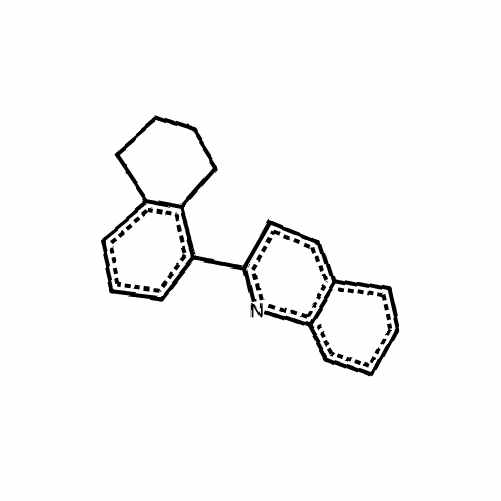 c1cc2c(c(-c3ccc4ccccc4n3)c1)CCCC2